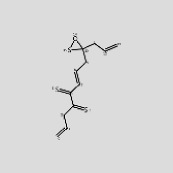 C=CCC(=S)C(=S)/C=C/CC1(CC=C)OS1